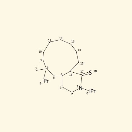 CC(C)N1CCC2CC(C)(C(C)C)CCCCCCCC2C1=S